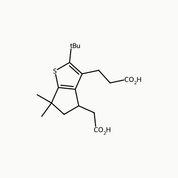 CC(C)(C)c1sc2c(c1CCC(=O)O)C(CC(=O)O)CC2(C)C